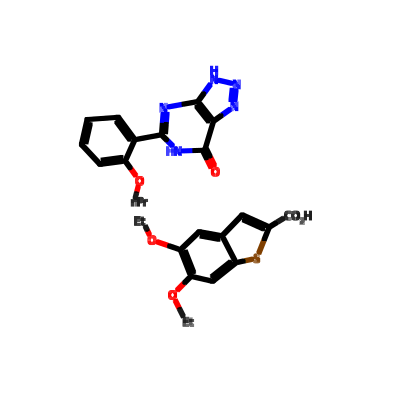 CCCOc1ccccc1-c1nc2[nH]nnc2c(=O)[nH]1.CCOc1cc2cc(C(=O)O)sc2cc1OCC